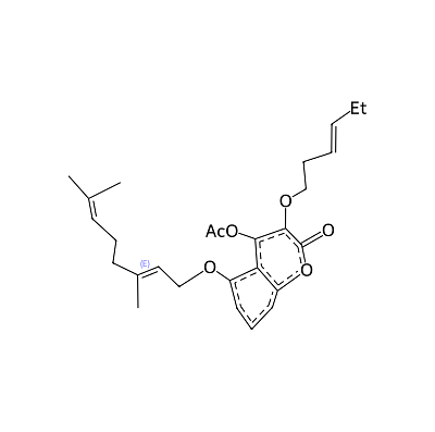 CCC=CCCOc1c(OC(C)=O)c2c(OC/C=C(\C)CCC=C(C)C)cccc2oc1=O